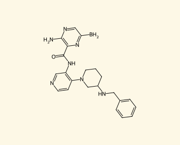 Bc1cnc(N)c(C(=O)Nc2cnccc2N2CCCC(NCc3ccccc3)C2)n1